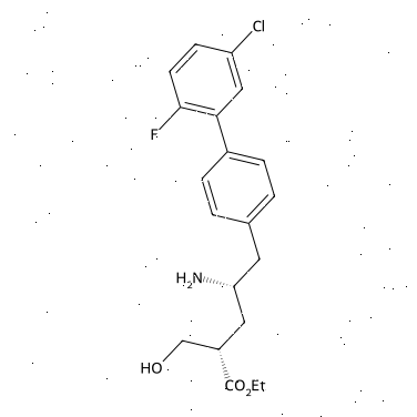 CCOC(=O)[C@H](CO)C[C@H](N)Cc1ccc(-c2cc(Cl)ccc2F)cc1